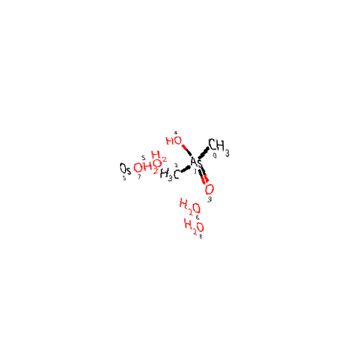 C[As](C)(=O)O.O.O.O.O.[Os]